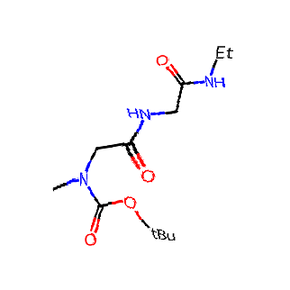 CCNC(=O)CNC(=O)CN(C)C(=O)OC(C)(C)C